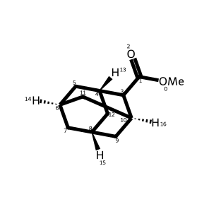 COC(=O)C1[C@H]2C[C@@H]3C[C@@H](C[C@H]1C3)C2